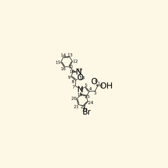 O=C(O)Cc1cn(Cc2cc(-c3ccccc3)no2)c2ccc(Br)cc12